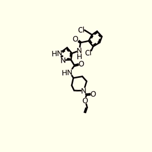 C=COC(=O)N1CCC(NC(=O)c2n[nH]cc2NC(=O)c2c(Cl)cccc2Cl)CC1